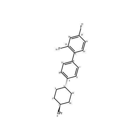 CCC[C@H]1CC[C@H](c2ccc(-c3ccc(F)cc3F)cc2)CC1